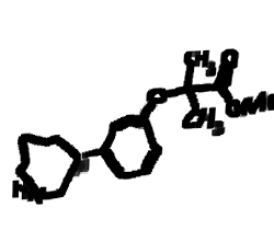 COC(=O)C(C)(C)Oc1cccc([C@H]2CCCNC2)c1